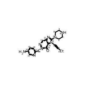 CCC#Cn1c(N2CCNCC2)nc2cnn(Cc3ccc(N)cn3)c(=O)c21